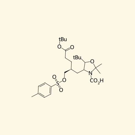 Cc1ccc(S(=O)(=O)OC[C@@H](CCC(=O)OC(C)(C)C)CC2C(C(C)(C)C)OC(C)(C)N2C(=O)O)cc1